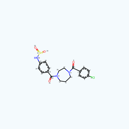 O=C(c1ccc(Cl)cc1)N1CCCN(C(=O)c2ccc(N[SH](=O)=O)cc2)CC1